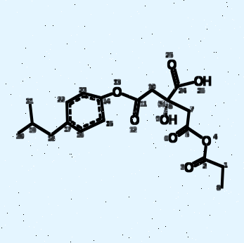 CCC(=O)OC(=O)C[C@@](O)(CC(=O)Oc1ccc(CC(C)C)cc1)C(=O)O